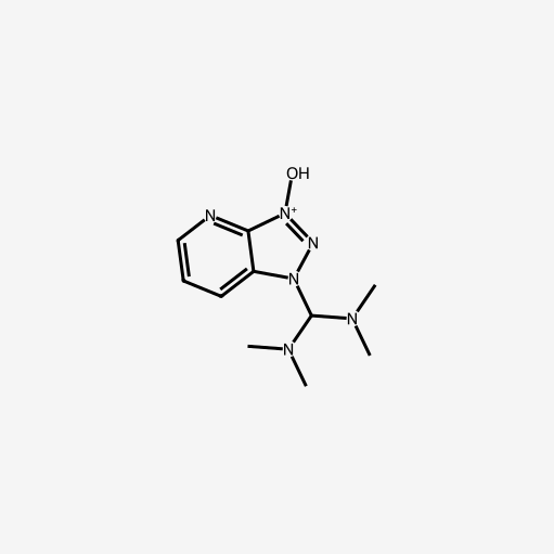 CN(C)C(N(C)C)n1n[n+](O)c2ncccc21